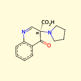 O=C(O)[C@@]1(N2CCCC2)C=Nc2ccccc2C1=O